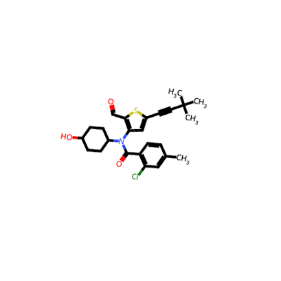 Cc1ccc(C(=O)N(c2cc(C#CC(C)(C)C)sc2C=O)C2CCC(O)CC2)c(Cl)c1